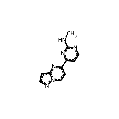 CNc1nccc(-c2ccn3nccc3n2)n1